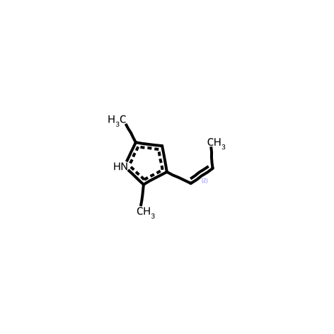 C/C=C\c1cc(C)[nH]c1C